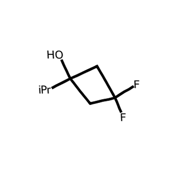 CC(C)C1(O)CC(F)(F)C1